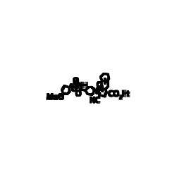 CCOC(=O)c1cc(C#N)c(N2CCC(C(=O)NS(=O)(=O)Cc3ccc(OC)cc3)CC2)nc1CN1CCCCC1=O